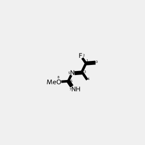 C=C(F)/C(C)=N/C(=N)OC